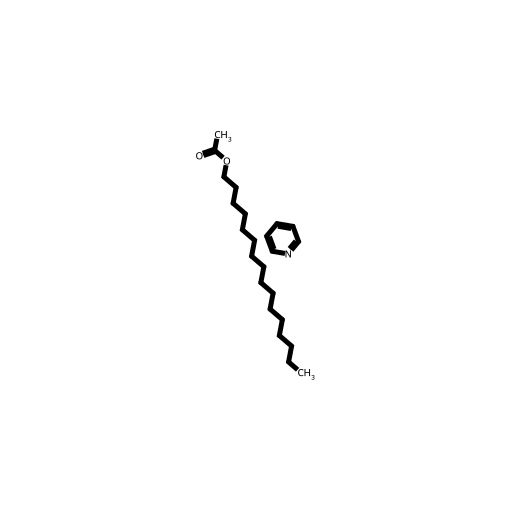 CCCCCCCCCCCCCCCCOC(C)=O.c1ccncc1